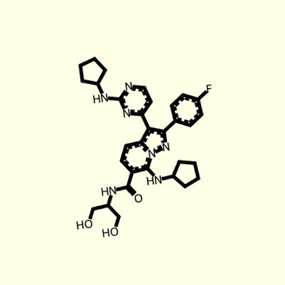 O=C(NC(CO)CO)c1ccc2c(-c3ccnc(NC4CCCC4)n3)c(-c3ccc(F)cc3)nn2c1NC1CCCC1